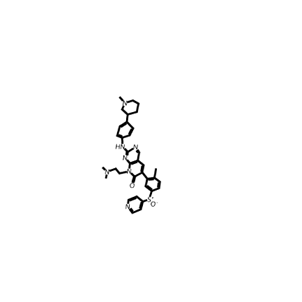 Cc1ccc([S+]([O-])c2ccncc2)cc1-c1cc2cnc(Nc3ccc(C4CCCN(C)C4)cc3)nc2n(CCN(C)C)c1=O